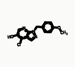 COc1ccc(Cn2ncc3c(Cl)c(O)cnc32)cc1